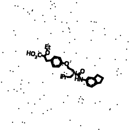 CCOC(Cc1ccc(OCCN(CC(C)C)C(=O)Nc2ccc3c(c2)CCC3)cc1)C(=O)O